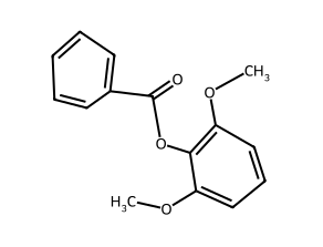 COc1cccc(OC)c1OC(=O)c1ccccc1